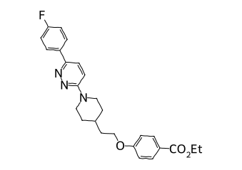 CCOC(=O)c1ccc(OCCC2CCN(c3ccc(-c4ccc(F)cc4)nn3)CC2)cc1